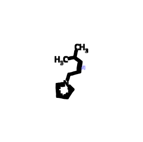 CC(C)/C=C\Cn1cccc1